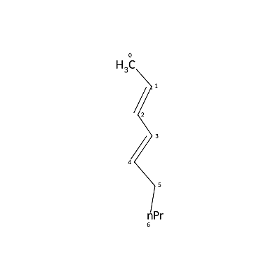 C/[C]=C/C=CCCCC